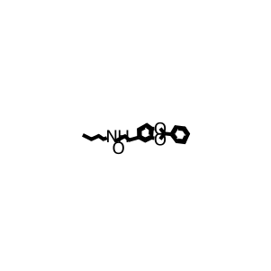 CCCCNC(=O)CCc1ccc2c(c1)OC(c1ccccc1)O2